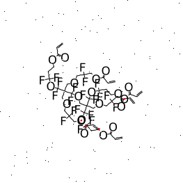 C=CC(=O)OCCC(F)(F)OC(F)(F)C(COCC(F)(F)COC(=O)C=C)(COCC(F)(F)COC(=O)C=C)C(F)(F)OCC(COCC(F)(F)COC(=O)C=C)(C(F)(F)OC(F)(F)CCOC(=O)C=C)C(F)(F)OC(F)(F)CCOC(=O)C=C